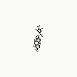 Cc1cc(C(=O)[C@H]2CC[C@H]3[C@@H]4CC[C@H]5NC(=O)C=C[C@]5(C)[C@H]4CC[C@]23C)cc(C)c1N(C)C